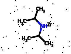 CC(C)NC(C)C.[Zr]